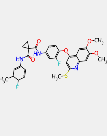 COc1cc2nc(SC)cc(Oc3ccc(NC(=O)C4(C(=O)NC5=CC(C)C(F)C=C5)CC4)cc3F)c2cc1OC